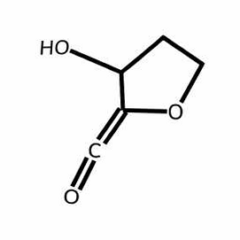 O=C=C1OCCC1O